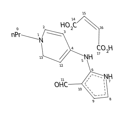 CCCN1C=CC(Nc2[nH]ccc2C=O)=CC1.O=C(O)/C=C\C(=O)O